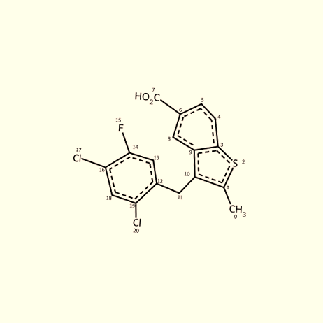 Cc1sc2ccc(C(=O)O)cc2c1Cc1cc(F)c(Cl)cc1Cl